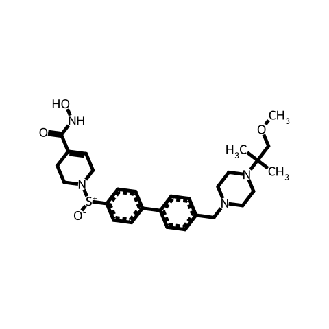 COCC(C)(C)N1CCN(Cc2ccc(-c3ccc([S+]([O-])N4CC=C(C(=O)NO)CC4)cc3)cc2)CC1